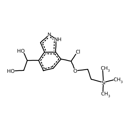 C[Si](C)(C)CCOC(Cl)c1ccc(C(O)CO)c2cn[nH]c12